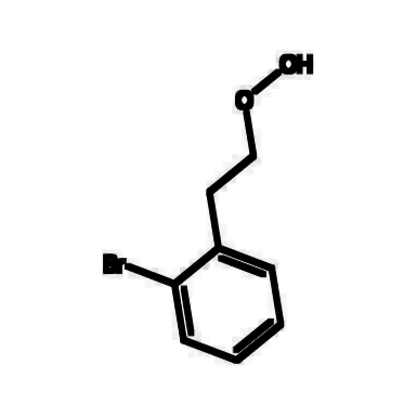 OOCCc1ccccc1Br